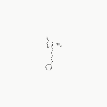 NC1=C(CCCCCc2ccccc2)N=CC(=O)C1